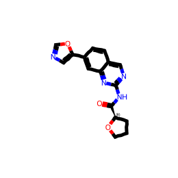 O=C(Nc1ncc2ccc(-c3cnco3)cc2n1)[C@H]1CCCO1